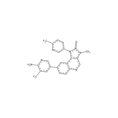 Cn1c(=O)n(-c2ccc(C(F)(F)F)nc2)c2c3cc(-c4cnc(N)c(C(F)(F)F)c4)ccc3ncc21